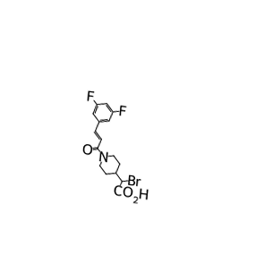 O=C(O)C(Br)C1CCN(C(=O)C=Cc2cc(F)cc(F)c2)CC1